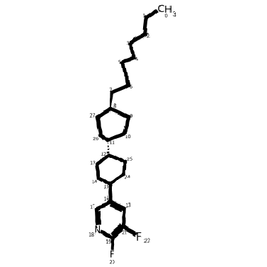 CCCCCCCC[C@H]1CC[C@H](C2CCC(c3cnc(F)c(F)c3)CC2)CC1